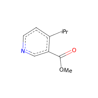 COC(=O)c1cnccc1C(C)C